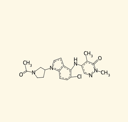 CC(=O)N1CCC(n2ccc3c(Nc4cnn(C)c(=O)c4C)c(Cl)ccc32)C1